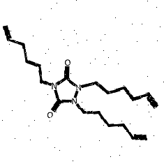 C=CCCCCn1c(=O)n(CCCCC=C)n(CCCCC=C)c1=O